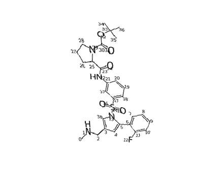 CNCc1cc(-c2ccccc2F)n(S(=O)(=O)c2cccc(NC(=O)C3CCCN3C(=O)OC(C)(C)C)c2)c1